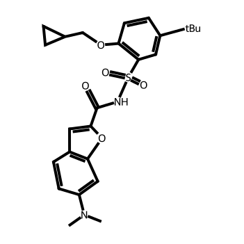 CN(C)c1ccc2cc(C(=O)NS(=O)(=O)c3cc(C(C)(C)C)ccc3OCC3CC3)oc2c1